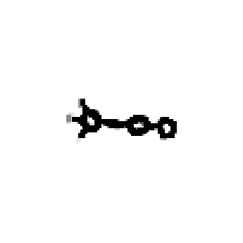 Fc1cc(C#Cc2ccc(C3CCCC3)cc2)cc(F)c1F